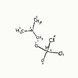 CN(C)C.Cl[IH](Cl)(Cl)Cl